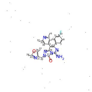 Cc1cc(-c2c(-c3ccc(F)cc3)nc(N)n3c(=O)n(Cc4nc(C)oc4C)nc23)cc(C)n1